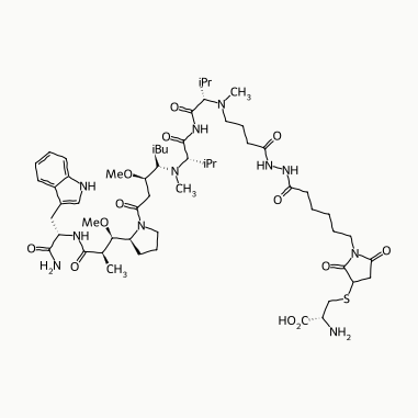 CC[C@H](C)[C@@H]([C@@H](CC(=O)N1CCC[C@H]1[C@H](OC)[C@@H](C)C(=O)N[C@@H](Cc1c[nH]c2ccccc12)C(N)=O)OC)N(C)[C@H](C(=O)NC(=O)[C@H](C(C)C)N(C)CCCC(=O)NNC(=O)CCCCCN1C(=O)CC(SC[C@H](N)C(=O)O)C1=O)C(C)C